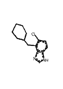 Clc1ccc2[nH][c]nc2c1CC1CCCCC1